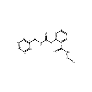 O=C(Cc1ccccc1C(=O)OCI)OCc1ccccc1